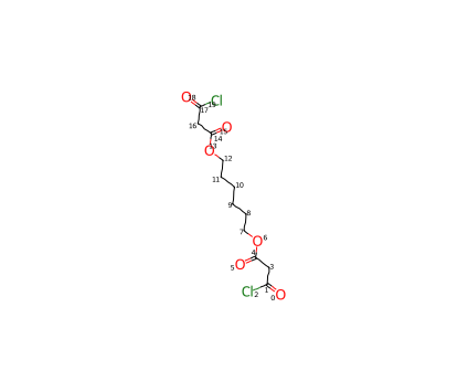 O=C(Cl)CC(=O)OCCCCCCOC(=O)CC(=O)Cl